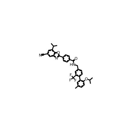 Cc1ccc(OC(C)C)c(-c2ccc(CNC(=O)c3ccc(-c4nc5cc(C#N)cc(C(C)C)c5o4)cc3)cc2C(F)(F)F)c1